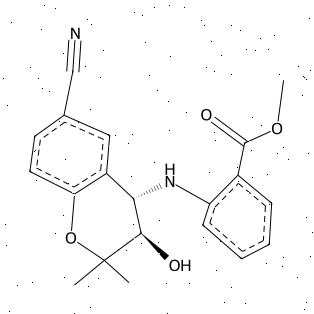 COC(=O)c1ccccc1N[C@H]1c2cc(C#N)ccc2OC(C)(C)[C@@H]1O